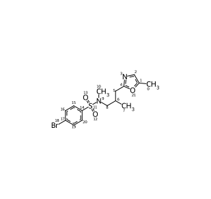 Cc1cnc(CC(C)CN(C)S(=O)(=O)c2ccc(Br)cc2)o1